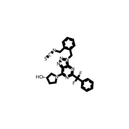 O[C@H]1CCN(c2nc(C(F)(F)c3ccccc3)nc3c2nnn3Cc2ccccc2CN=C=S)C1